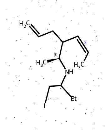 C=CCC(/C=C\C)[C@H](C)NC(CC)CI